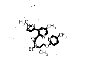 CCN(C1OC1c1ncc(C)cc1-c1ccn(C)n1)[C@@H](C)COc1ccc(C(F)(F)F)cn1